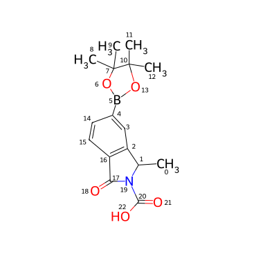 CC1c2cc(B3OC(C)(C)C(C)(C)O3)ccc2C(=O)N1C(=O)O